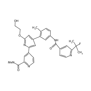 CNC(=O)c1cc(-c2cc(-c3cc(NC(=O)c4ccnc(C(C)(C)F)c4)ccc3C)cc(OCCO)n2)ccn1